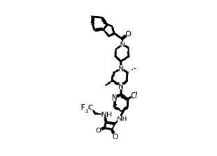 C[C@@H]1CN(c2ncc(Nc3c(NCC(F)(F)F)c(=O)c3=O)cc2Cl)[C@@H](C)CN1C1CCN(C(=O)C2Cc3ccccc3C2)CC1